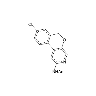 CC(=O)Nc1cc2c(cn1)OCc1cc(Cl)ccc1-2